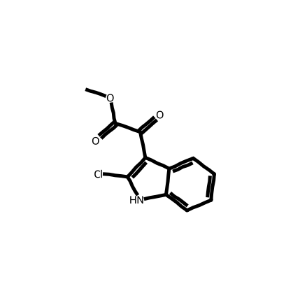 COC(=O)C(=O)c1c(Cl)[nH]c2ccccc12